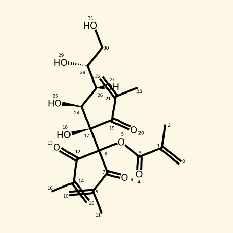 C=C(C)C(=O)OC(C(=O)C(=C)C)(C(=O)C(=C)C)[C@@](O)(C(=O)C(=C)C)[C@@H](O)[C@H](O)[C@H](O)CO